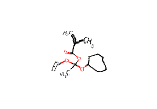 C=C(C)C(=O)OC(C)(OCC)OC1CCCCC1